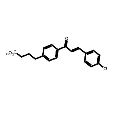 O=C(O)CCCc1ccc(C(=O)C=Cc2ccc(Cl)cc2)cc1